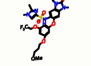 COCCCOc1cc(OCC(F)(F)F)cc(Oc2cc3c(cc2NS(=O)(=O)c2cn(C)c(C)n2)n(C)c(=O)n3C)c1